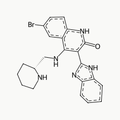 O=c1[nH]c2ccc(Br)cc2c(NC[C@H]2CCCCN2)c1-c1nc2ccccc2[nH]1